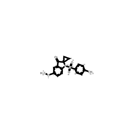 COc1ccc2c(c1)C(=O)C1(CC1)N2S(=O)(=O)c1ccc(C)cc1